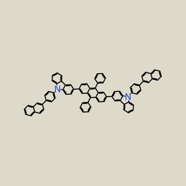 c1ccc(-c2c3ccc(-c4ccc5c(c4)c4ccccc4n5-c4ccc(-c5ccc6ccccc6c5)cc4)cc3c(-c3ccccc3)c3ccc(-c4ccc5c(c4)c4ccccc4n5-c4ccc(-c5ccc6ccccc6c5)cc4)cc23)cc1